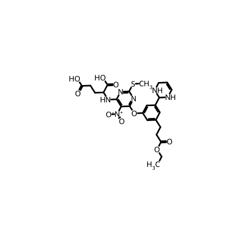 CCOC(=O)CCc1cc(Oc2nc(SC)nc(NC(CCC(=O)O)C(=O)O)c2[N+](=O)[O-])cc(C2NC=CCN2)c1